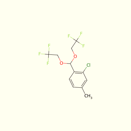 Cc1ccc(C(OCC(F)(F)F)OCC(F)(F)F)c(Cl)c1